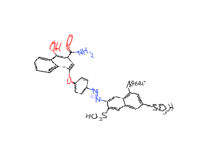 CC(=O)Nc1cc(S(=O)(=O)O)cc2cc(S(=O)(=O)O)c(/N=N/c3ccc(Oc4cc(C(N)=O)c(O)c5ccccc45)cc3)cc12